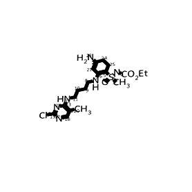 CCOC(=O)N=S(C)(=O)C1=C(NCCCCNc2nc(Cl)ncc2C)C=C(N)CC1